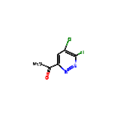 COC(=O)c1cc(Cl)c(Cl)nn1